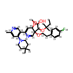 CCC(C)(C)OC(C(=O)O)C1(OCCc2ccc(F)cc2)C=NC(c2cnc(C)cc2N2CCC(C)(C)CC2)=CC1OC